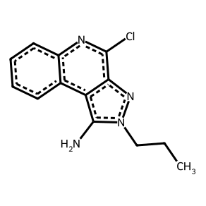 CCCn1nc2c(Cl)nc3ccccc3c2c1N